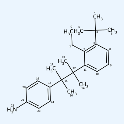 CCc1c(C(C)(C)C)cccc1C(C)(C)C(C)(C)c1ccc(N)cc1